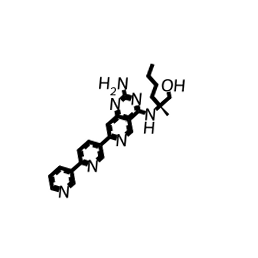 CCCC[C@](C)(CO)Nc1nc(N)nc2cc(-c3ccc(-c4cccnc4)nc3)ncc12